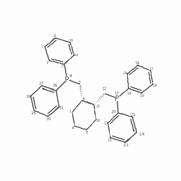 c1ccc(P(C[C@H]2CCCC[C@H]2CP(c2ccccc2)c2ccccc2)c2ccccc2)cc1